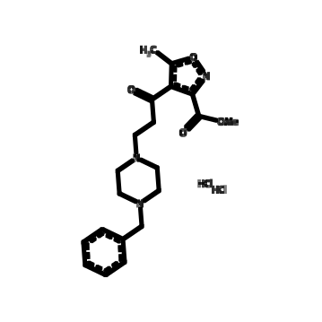 COC(=O)c1noc(C)c1C(=O)CCN1CCN(Cc2ccccc2)CC1.Cl.Cl